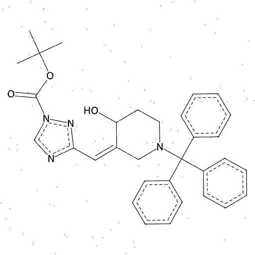 CC(C)(C)OC(=O)n1cnc(C=C2CN(C(c3ccccc3)(c3ccccc3)c3ccccc3)CCC2O)n1